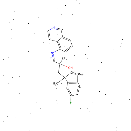 COc1ccc(F)cc1C(C)(C)CC(O)(/C=N\c1cccc2cnccc12)C(F)(F)F